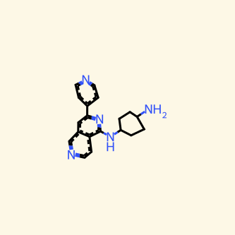 NC1CCC(Nc2nc(-c3ccncc3)cc3cnccc23)CC1